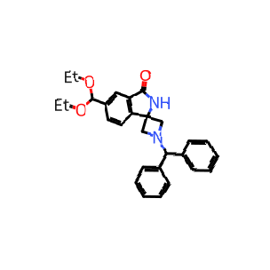 CCOC(OCC)c1ccc2c(c1)C(=O)NC21CN(C(c2ccccc2)c2ccccc2)C1